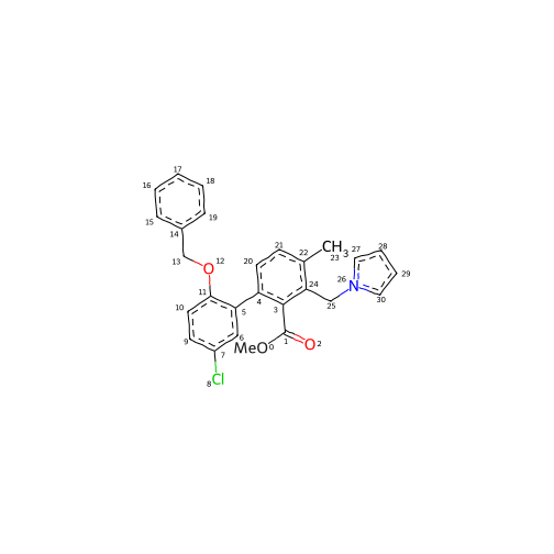 COC(=O)c1c(-c2cc(Cl)ccc2OCc2ccccc2)ccc(C)c1Cn1cccc1